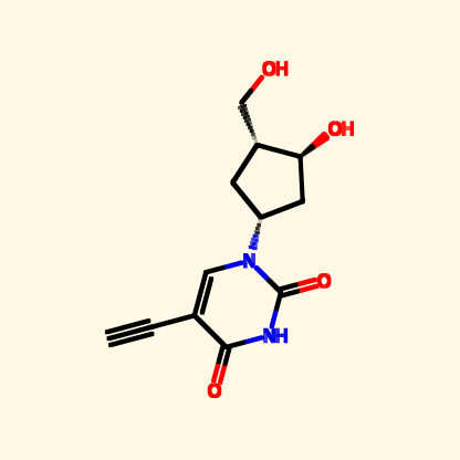 C#Cc1cn([C@@H]2C[C@H](CO)[C@@H](O)C2)c(=O)[nH]c1=O